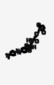 CN(C)c1ccc(/N=N/c2ccc(S(=O)(=O)NCCNC(=O)CCOCCN3C(=O)C=CC3=O)cc2)cc1